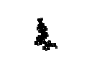 C=C(CCCOc1c(N)ncnc1-c1cccc(-n2ccc3cc(C4CC4)cc(F)c3c2=O)c1)C(N)=O